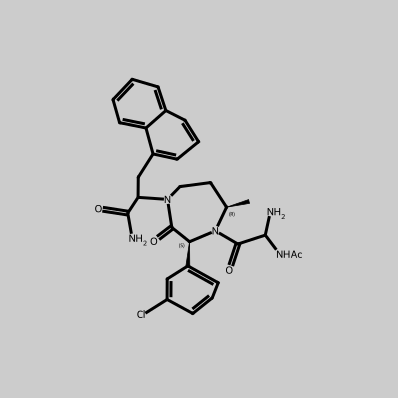 CC(=O)NC(N)C(=O)N1[C@H](C)CCN(C(Cc2cccc3ccccc23)C(N)=O)C(=O)[C@@H]1c1cccc(Cl)c1